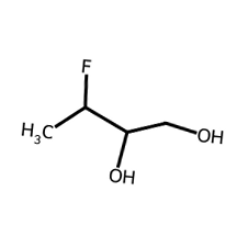 CC(F)C(O)CO